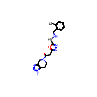 CCc1ccccc1CNBc1nnc(CC(=O)N2CCc3[nH]nnc3C2)o1